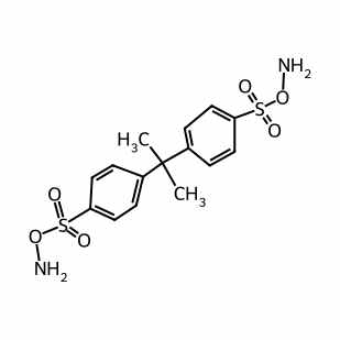 CC(C)(c1ccc(S(=O)(=O)ON)cc1)c1ccc(S(=O)(=O)ON)cc1